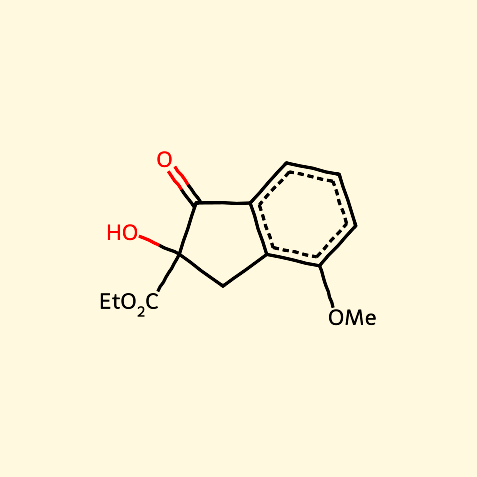 CCOC(=O)C1(O)Cc2c(OC)cccc2C1=O